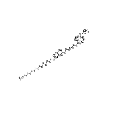 CCCCCCCCCCCCCCCCCC(=O)Oc1cccc(CCCCCCCC2SSSSC(CCC)C3CC2SS3)c1